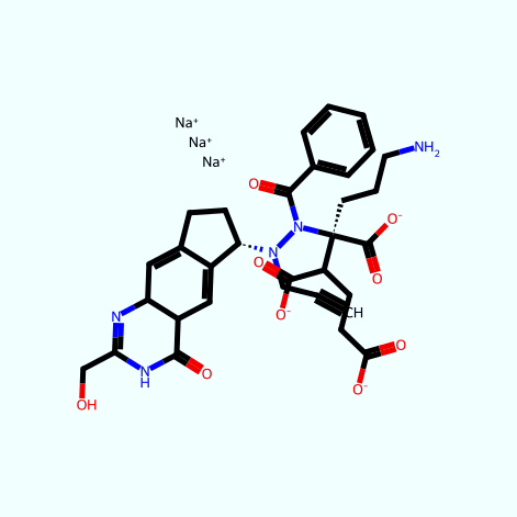 C#CCN([C@H]1CCC2=CC3N=C(CO)NC(=O)C3C=C21)N(C(=O)c1ccccc1)[C@@](CCCN)(C(=O)[O-])C(CCC(=O)[O-])C(=O)[O-].[Na+].[Na+].[Na+]